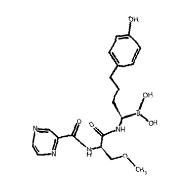 COC[C@@H](NC(=O)c1cnccn1)C(=O)N[C@@H](CCCc1ccc(O)cc1)B(O)O